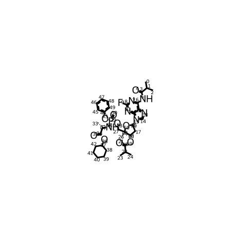 CC(C)C(=O)Nc1nc(F)nc2c1ncn2[C@H]1C[C@H](OC(=O)C(C)C)[C@@](C)(COP(=O)(N[C@@H](C)C(=O)OC2CCCCC2)Oc2ccccc2)O1